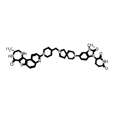 C[C@@H]1CNc2c(sc3ccc4nc(N5CCC(CN6CCC7(CCN(c8ccc9c(c8)n(C)c(=O)n9C8CCC(=O)NC8=O)CC7)C6)CC5)ccc4c23)C(=O)N1